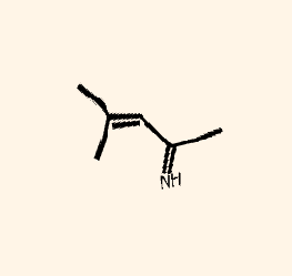 CC(=N)C=C(C)C